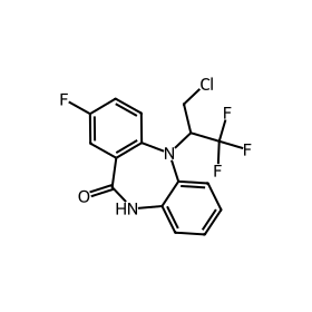 O=C1Nc2ccccc2N(C(CCl)C(F)(F)F)c2ccc(F)cc21